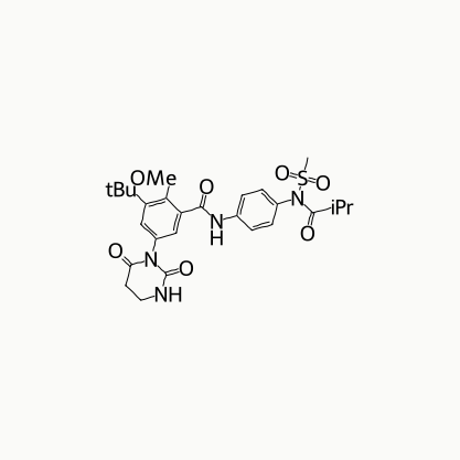 COc1c(C(=O)Nc2ccc(N(C(=O)C(C)C)S(C)(=O)=O)cc2)cc(N2C(=O)CCNC2=O)cc1C(C)(C)C